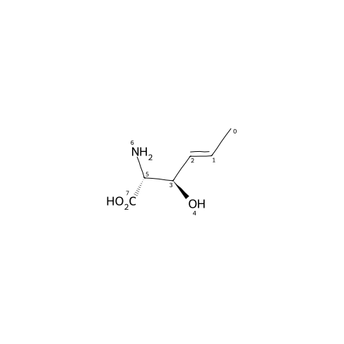 C/C=C/[C@@H](O)[C@@H](N)C(=O)O